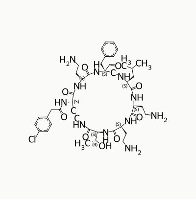 CC(C)C[C@@H]1NC[C@](C=O)(Cc2ccccc2)NC(=O)[C@H](CCN)NC(=O)[C@@H](NC(=O)Cc2ccc(Cl)cc2)CCNC(=O)[C@H]([C@@H](C)O)NC(=O)[C@H](CCN)NC(=O)[C@H](CCN)NC1=O